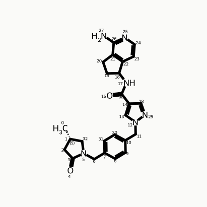 C[C@H]1CC(=O)N(Cc2ccc(Cn3cc(C(=O)NC4CCc5c4ccnc5N)cn3)cc2)C1